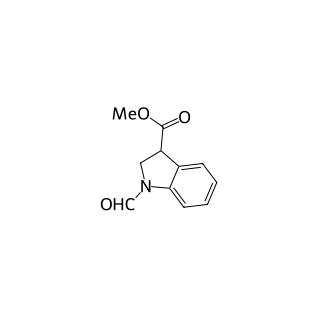 COC(=O)C1CN(C=O)c2ccccc21